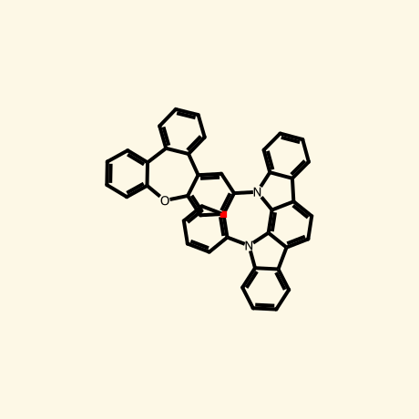 c1ccc(-n2c3ccccc3c3ccc4c5ccccc5n(-c5ccc6c(c5)-c5ccccc5-c5ccccc5O6)c4c32)cc1